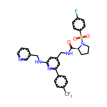 O=C(NCc1cc(NCc2cccnc2)nc(-c2ccc(C(F)(F)F)cc2)c1)[C@@H]1CCCN1S(=O)(=O)c1ccc(F)cc1